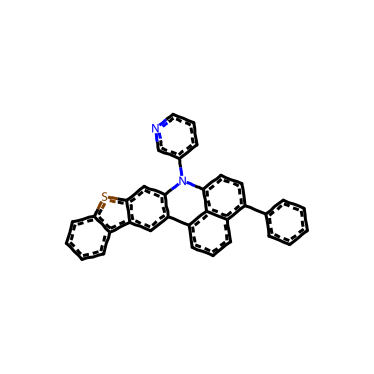 c1ccc(-c2ccc3c4c(cccc24)-c2cc4c(cc2N3c2cccnc2)sc2ccccc24)cc1